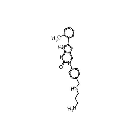 Cc1ccccc1-c1cc2cn(-c3ccc(CNCCCN)cc3)c(=O)nc2[nH]1